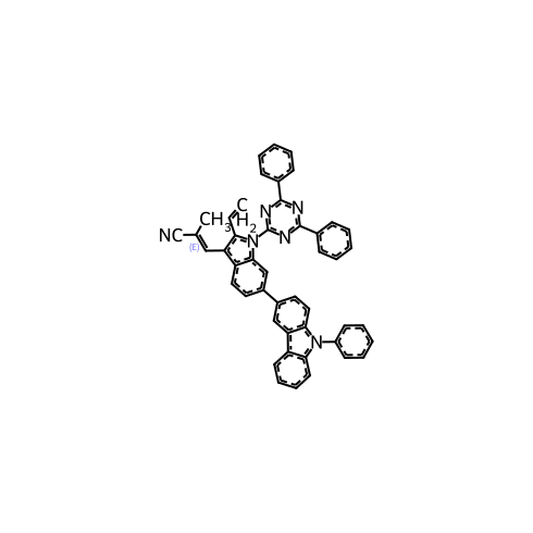 C=Cc1c(/C=C(\C)C#N)c2ccc(-c3ccc4c(c3)c3ccccc3n4-c3ccccc3)cc2n1-c1nc(-c2ccccc2)nc(-c2ccccc2)n1